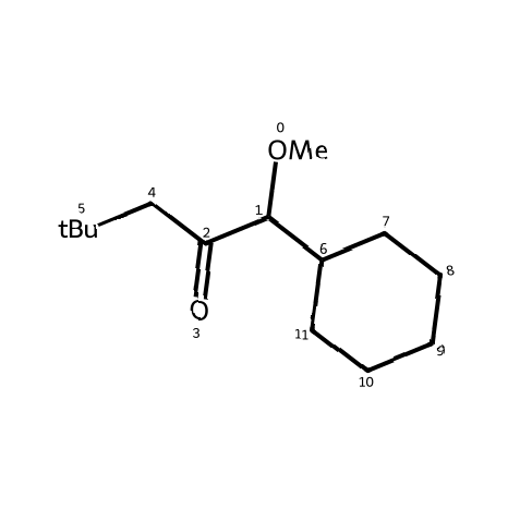 COC(C(=O)CC(C)(C)C)C1CCCCC1